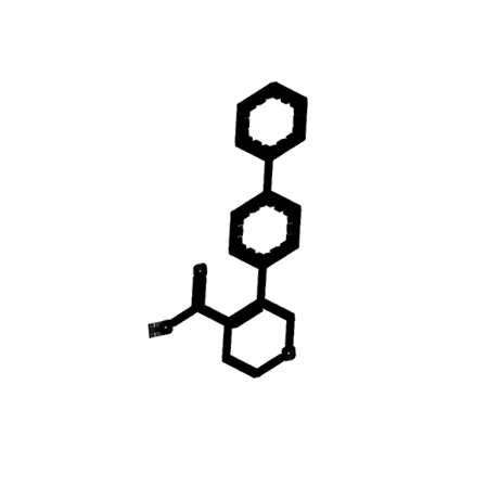 O=C(O)C1=C(c2ccc(-c3ccccc3)cc2)COCC1